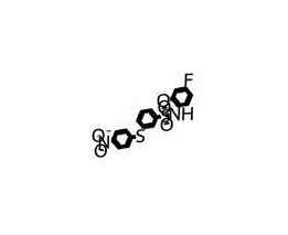 COc1cc(F)ccc1NS(=O)(=O)c1cccc(Sc2ccc([N+](=O)[O-])cc2)c1